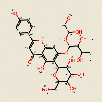 CC(O)C(O)C(Oc1cc2oc(-c3ccc(O)cc3)cc(=O)c2c(O)c1C1OC(CO)C(O)C(O)C1O)OC(O)CO